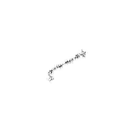 CN1Cc2c(Cl)cc(Cl)cc2C(c2ccc3ccn(CCOCCOCCNC(=O)NCCCCNC(=O)NCCOCCOCCn4ccc5ccc(C6CN(C)Cc7c(Cl)cc(Cl)cc76)cc5c4=O)c(=O)c3c2)C1